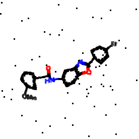 CCc1ccc(-c2nc3cc(NC(=O)c4cccc(OC)c4)ccc3o2)cc1